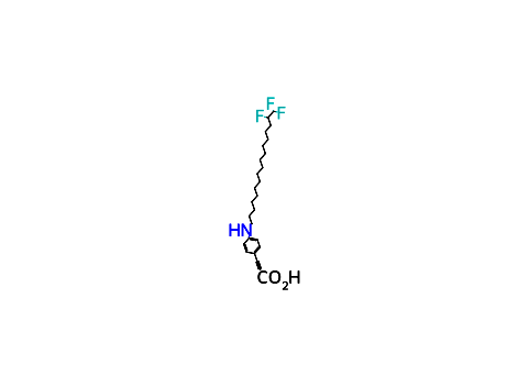 O=C(O)C#Cc1ccc(NCCCCCCCCCCCCCCCC(F)C(F)F)cc1